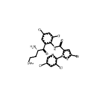 CSCC[C@H](N)C(=O)c1cc(Cl)cc(Cl)c1NC(=O)c1cc(Br)nn1-c1ncc(Cl)cc1Cl